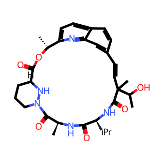 CC(C)[C@@H]1NC(=O)C(C)(C(C)O)/C=C/c2ccc3ccc(nc3c2)[C@@H](C)OC(=O)[C@@H]2CCCN(N2)C(=O)[C@H](C)NC1=O